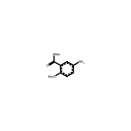 CNC(=O)c1cc(N)ccc1OC